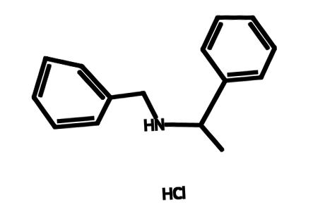 CC(NCc1ccccc1)c1ccccc1.Cl